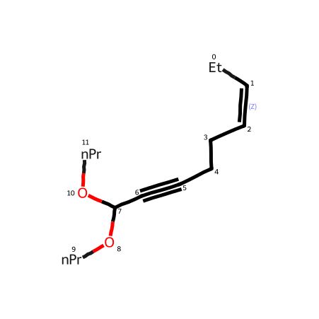 CC/C=C\CCC#CC(OCCC)OCCC